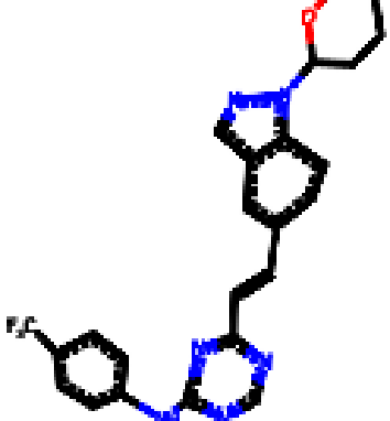 FC(F)(F)c1ccc(Nc2ncnc(C=Cc3ccc4c(cnn4C4CCCCO4)c3)n2)cc1